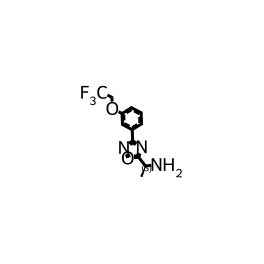 C[C@H](N)c1nc(-c2cccc(OCC(F)(F)F)c2)no1